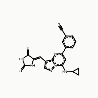 N#Cc1cccc(-c2cc(NC3CC3)n3ncc(/C=C4\NC(=O)NC4=O)c3n2)c1